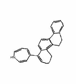 C1=CNC=CC(C2=CCCc3c2ccc2c3CCc3ccccc3-2)=C1